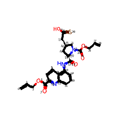 C=CCOC(=O)c1ccc2c(NC(=O)[C@@H]3C[C@@H](CC(O)=S)CN3C(=O)OCC=C)cccc2n1